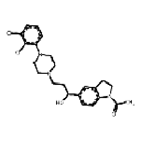 CC(=O)N1CCc2cc(C(O)CCN3CCN(c4cccc(Cl)c4Cl)CC3)ccc21